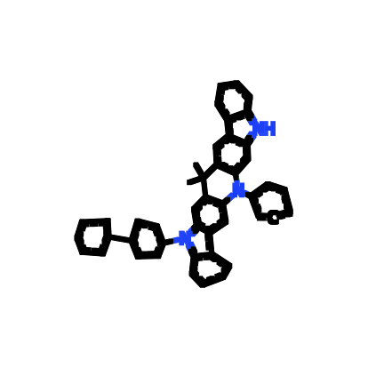 CC1(C)c2cc3c(cc2N(c2ccccc2)c2cc4c5ccccc5n(-c5ccc(-c6ccccc6)cc5)c4cc21)[nH]c1ccccc13